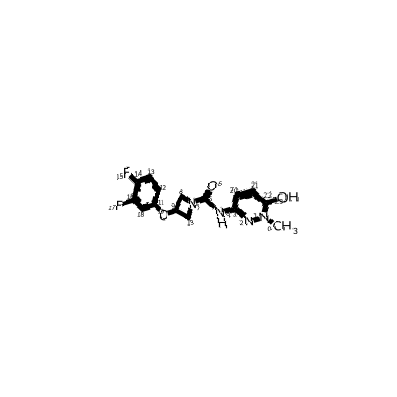 CN1N=C(NC(=O)N2CC(Oc3ccc(F)c(F)c3)C2)C=CC1O